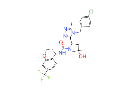 Cc1nnc([C@H]2CC(C)(O)CN2C(=O)N[C@H]2CCOc3cc(C(F)(F)F)ccc32)n1Cc1ccc(Cl)cc1